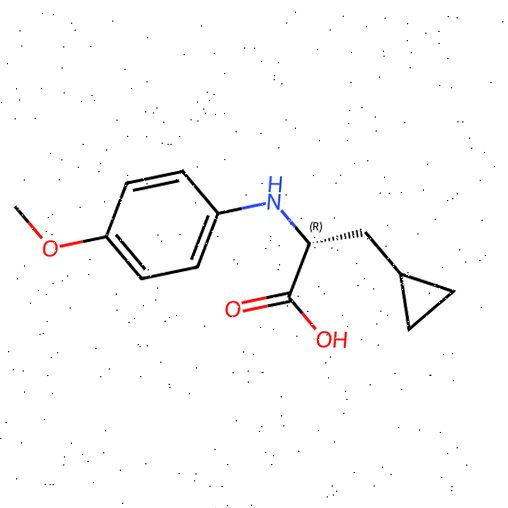 COc1ccc(N[C@H](CC2CC2)C(=O)O)cc1